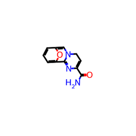 NC(=O)C1=CCN2C=C3C=CC=C(O3)C2=N1